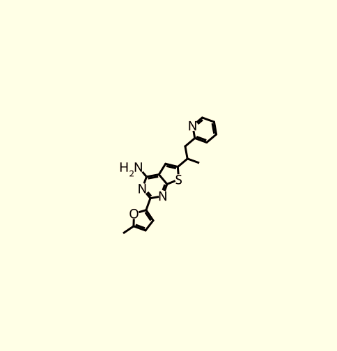 Cc1ccc(-c2nc(N)c3cc(C(C)Cc4ccccn4)sc3n2)o1